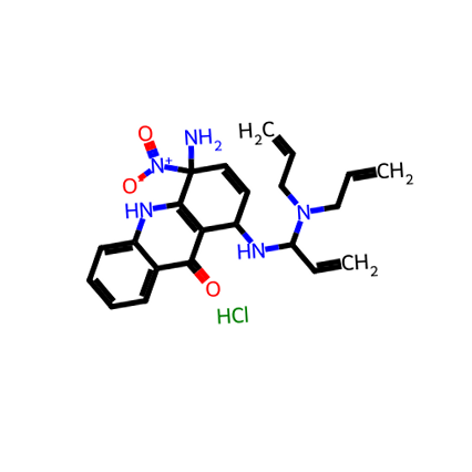 C=CCN(CC=C)C(C=C)NC1C=CC(N)([N+](=O)[O-])c2[nH]c3ccccc3c(=O)c21.Cl